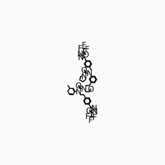 CC1C=C(N(CCc2ccc(-c3nnc(C(F)(F)F)o3)cc2)C(=O)N2CCOC(c3cccc(N(Cc4ccc(-c5nnc(C(F)(F)F)o5)cc4)C(=O)N4CCCC4)c3)C2)C=CC1